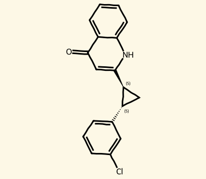 O=c1cc([C@H]2C[C@@H]2c2cccc(Cl)c2)[nH]c2ccccc12